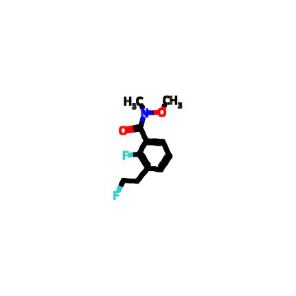 CON(C)C(=O)c1cccc(CCF)c1F